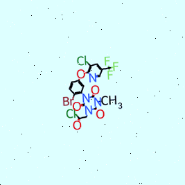 Cn1c(=O)n(CC(=O)Cl)c(=O)n(-c2cc(Oc3ncc(C(F)(F)F)cc3Cl)ccc2Br)c1=O